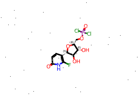 O=c1ccc([C@@H]2O[C@H](COP(=O)(Cl)Cl)[C@H](O)C2O)c(F)[nH]1